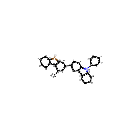 Cc1cc(-c2ccc3c(c2)c2ccccc2n3-c2ccccc2)cc2sc3ccccc3c12